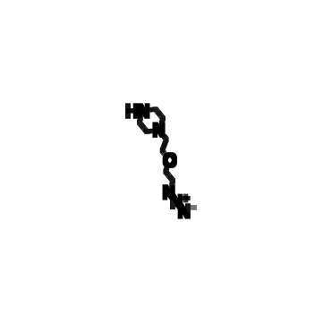 [N-]=[N+]=NCCOCCN1CCNCC1